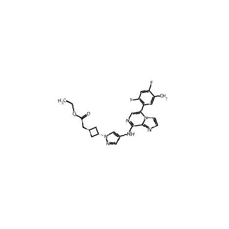 CCOC(=O)C[C@H]1C[C@H](n2cc(Nc3ncc(-c4cc(C)c(F)cc4F)n4ccnc34)cn2)C1